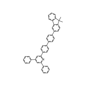 CC1(C)c2ccccc2-c2cc(-c3ccc(-c4ccc(-c5cc(-c6ccccc6)cc(-c6ccccc6)n5)cc4)cc3)ccc21